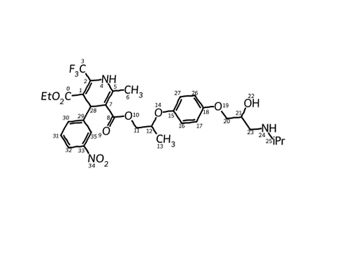 CCOC(=O)C1=C(C(F)(F)F)NC(C)=C(C(=O)OCC(C)Oc2ccc(OCC(O)CNC(C)C)cc2)C1c1cccc([N+](=O)[O-])c1